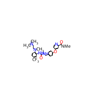 CNC(=O)c1cc(Oc2ccc(CNC(=O)Nc3cc(C(F)(F)F)ccc3N(C)CCN(C)C)cc2)ccn1